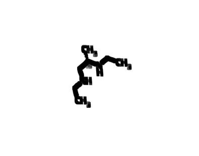 CCNC[C@H](C)NCC